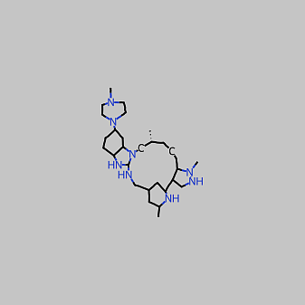 CC1CC2CNC3NC4CCC(N5CCN(C)CC5)CC4N3C[C@H](C)CCCC3C(CNN3C)C(C2)N1